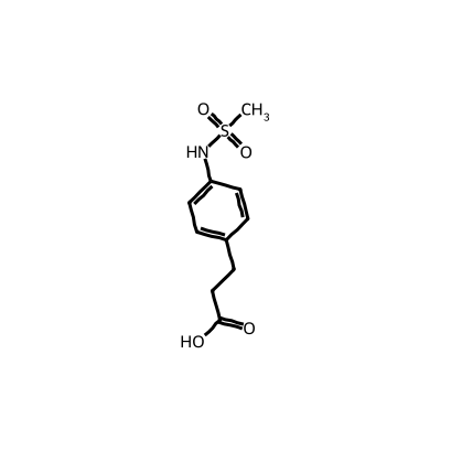 CS(=O)(=O)Nc1ccc(CCC(=O)O)cc1